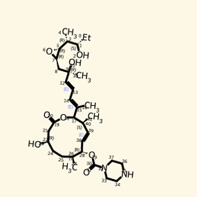 CC[C@H](O)[C@@H](C)[C@H]1O[C@@H]1C[C@@](C)(O)/C=C/C=C(\C)C1OC(=O)C[C@H](O)CC[C@H](C)[C@@H](OC(=O)N2CCNCC2)/C=C/[C@@H]1C